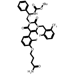 Cc1c(-c2cccc(OCCCC(N)=O)c2F)c(=O)n(C[C@H](NC(=O)OC(C)(C)C)c2ccccc2)c(=O)n1Cc1c(F)cccc1C(F)(F)F